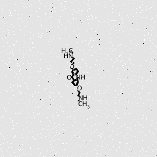 CCNCCCOc1ccc2c(=O)c3cc(OCCCNCC)ccc3[nH]c2c1